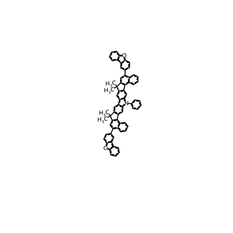 CC1(C)c2cc3c4cc5c(cc4n(-c4ccccc4)c3cc2-c2c1cc(-c1ccc3oc4ccccc4c3c1)c1ccccc21)-c1c(cc(-c2ccc3oc4ccccc4c3c2)c2ccccc12)C5(C)C